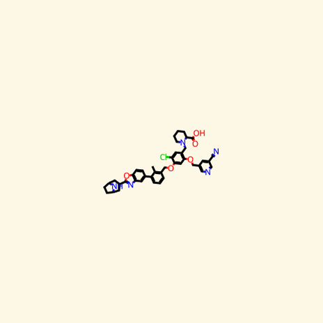 Cc1c(COc2cc(OCc3cncc(C#N)c3)c(CN3CCCCC3C(=O)O)cc2Cl)cccc1-c1ccc2oc(C3CC4CCC(C3)N4)nc2c1